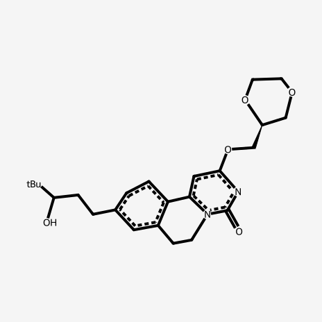 CC(C)(C)C(O)CCc1ccc2c(c1)CCn1c-2cc(OC[C@@H]2COCCO2)nc1=O